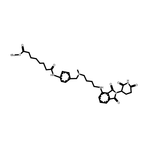 CN(CCCCNc1cccc2c1C(=O)N(C1CCC(=O)NC1=O)C2=O)Cc1ccc(NC(=O)CCCCCCC(=O)OC(C)(C)C)cc1